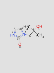 CC(C)(O)Cn1cc[nH]c1=O